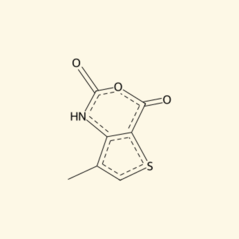 Cc1csc2c(=O)oc(=O)[nH]c12